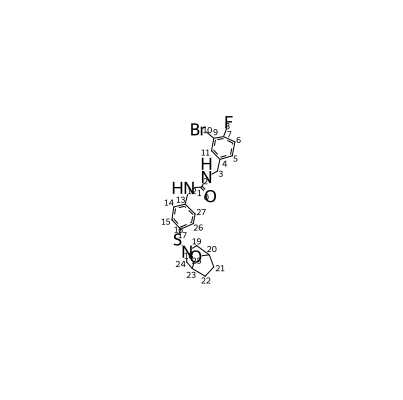 O=C(NCc1ccc(F)c(Br)c1)Nc1ccc(SN2CC3CCC(C2)O3)cc1